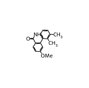 COc1ccc(C(N)=O)c(-c2cccc(C)c2C)c1